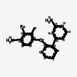 Cc1c(Oc2ncccc2-c2ccnc(N)n2)ccc(N)c1F